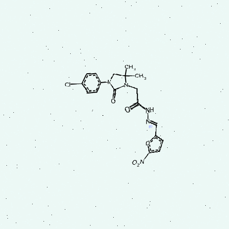 CC1(C)CN(c2ccc(Cl)cc2)C(=O)N1CC(=O)N/N=C/c1ccc([N+](=O)[O-])o1